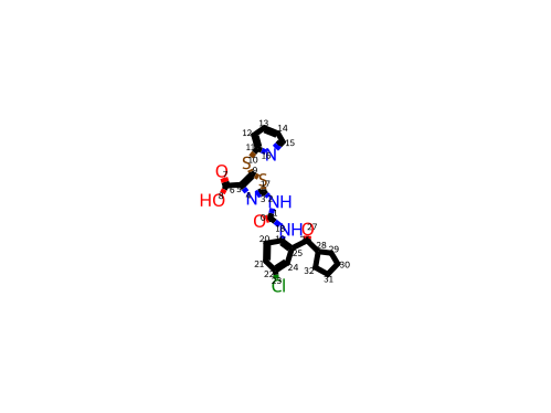 O=C(Nc1nc(C(=O)O)c(Sc2ccccn2)s1)Nc1ccc(Cl)cc1C(=O)C1CCCC1